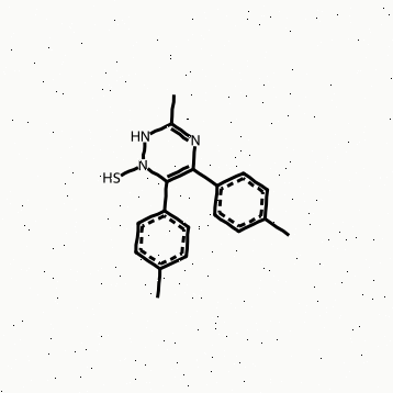 CC1=NC(c2ccc(C)cc2)=C(c2ccc(C)cc2)N(S)N1